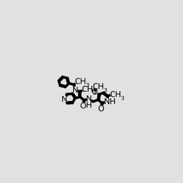 COc1cc(C)[nH]c(=O)c1CNC(=O)c1c(C)n(C(C)c2ccccc2)c2cnccc12